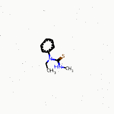 CCN(C(=S)NC)c1ccccc1